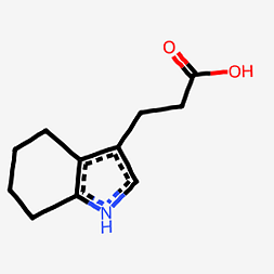 O=C(O)CCc1c[nH]c2c1CCCC2